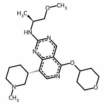 COC[C@H](C)Nc1ncc2c(OC3CCOCC3)ncc([C@H]3CCCN(C)C3)c2n1